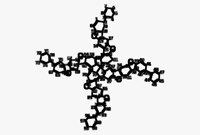 C1=CC(c2ccccc2)Cc2c1oc1cc3c(cc21)OC1CC=C(C(c2ccc4oc5cc6c(cc5c4c2)oc2ccc(-c4ccccc4)cc26)(c2ccc4oc5cc6c(cc5c4c2)oc2ccc(-c4ccccc4)cc26)C2C=Cc4oc5cc6c(cc5c4C2)oc2ccc(-c4ccccc4)cc26)C=C31